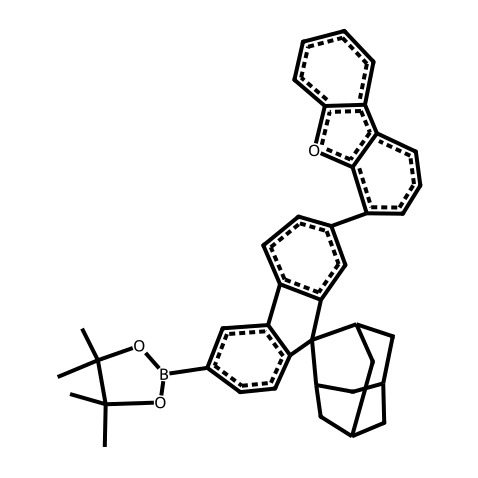 CC1(C)OB(c2ccc3c(c2)-c2ccc(-c4cccc5c4oc4ccccc45)cc2C32C3CC4CC(C3)CC2C4)OC1(C)C